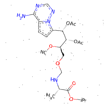 CC(=O)O[C@H]([C@@H](COCN[C@@H](C)C(=O)OC(C)C)OC#N)[C@@H](OC(C)=O)c1ccc2c(N)ncnn12